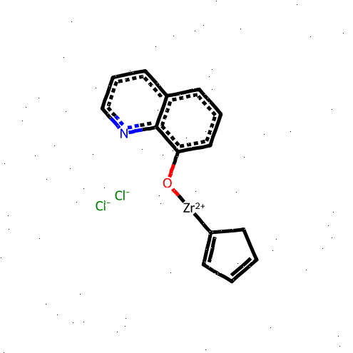 C1=CC[C]([Zr+2][O]c2cccc3cccnc23)=C1.[Cl-].[Cl-]